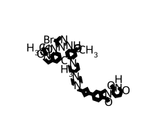 COc1cc(N2CCC(N3CCN(CC4CC(c5ccc6c(c5)CN(C5CCC(=O)NC5=O)C6=O)C4)CC3)CC2)c(C)cc1Nc1ncc(Br)c(Nc2cccc3c2N(S(C)(=O)=O)CC3)n1